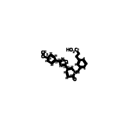 O=C(O)CCc1cccc(Cn2cc(-c3nc(-c4ccc(OC(F)(F)F)cc4)no3)ccc2=O)c1